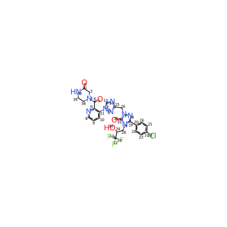 O=C1CN(C(=O)c2ncccc2-n2cnc(Cn3nc(-c4ccc(Cl)cc4)n(CC(O)C(F)(F)F)c3=O)n2)CCN1